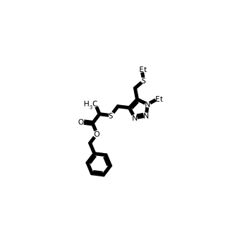 CCSCc1c(CSC(C)C(=O)OCc2ccccc2)nnn1CC